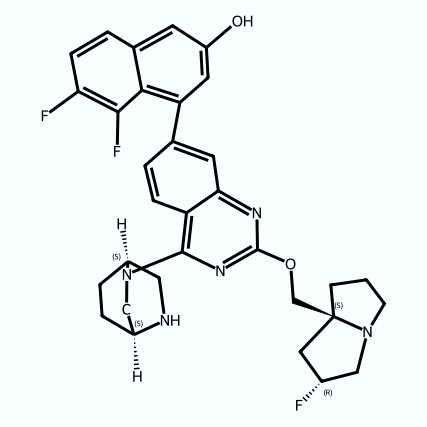 Oc1cc(-c2ccc3c(N4C[C@@H]5CC[C@H]4CN5)nc(OC[C@@]45CCCN4C[C@H](F)C5)nc3c2)c2c(F)c(F)ccc2c1